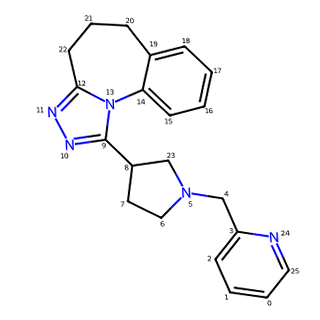 c1ccc(CN2CCC(c3nnc4n3-c3ccccc3CCC4)C2)nc1